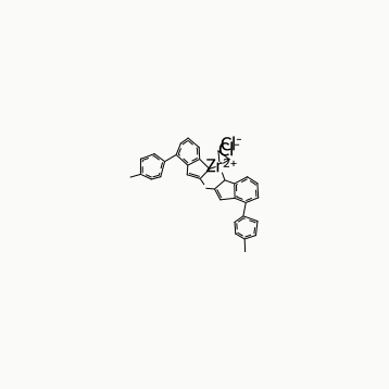 CC1=Cc2c(-c3ccc(C)cc3)cccc2[CH]1[Zr+2]1([CH]2C(C)=Cc3c(-c4ccc(C)cc4)cccc32)[CH2][CH2]1.[Cl-].[Cl-]